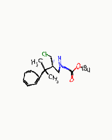 CC(C)(C)OC(=O)NC/C(=C/Cl)C(C)(C)c1ccccc1